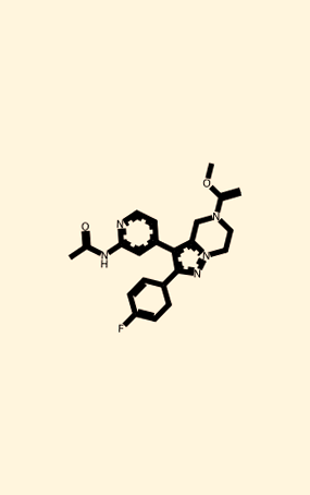 C=C(OC)N1CCn2nc(C3C=CC(F)=CC3)c(-c3ccnc(NC(C)=O)c3)c2C1